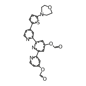 O=COc1ccnc(-c2cc(OC=O)cc(-c3cc(-c4ccc(N5CCOCC5)s4)ccn3)n2)c1